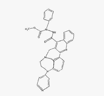 COC(=O)N(NC(=O)c1c(CN2CCN(c3ccncc3)CC2)c(-c2ccccc2)nc2ccccc12)c1ccccc1